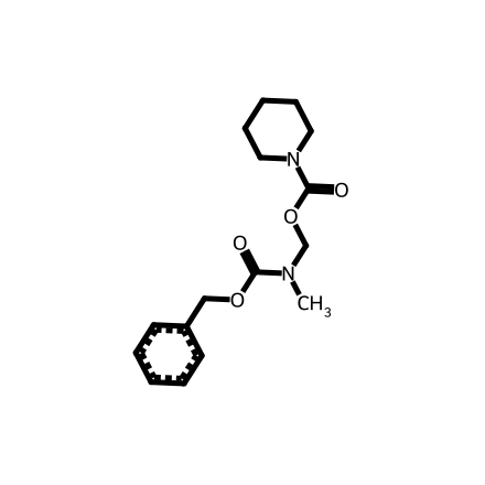 CN(COC(=O)N1CCCCC1)C(=O)OCc1ccccc1